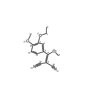 CCOc1cc(C(OC)=C(C#N)C#N)ccc1OC